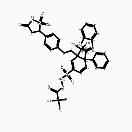 O=C1CC(c2ccc(CCC3(C(F)(F)F)C=C(S(=O)(=O)NOC(=O)C(F)(F)F)C=C[C@@]3(c3ccccc3)c3nc4ccccc4[nH]3)cc2)S(=O)(=O)N1